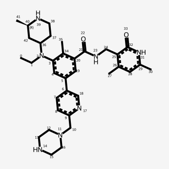 CCN(c1cc(-c2ccc(CN3CCNCC3)nc2)cc(C(=O)NCc2c(C)cc(C)[nH]c2=O)c1C)C1CCN[C@H](C)C1